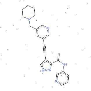 C=C(Nc1cccnc1)c1n[nH]cc1C#Cc1cncc(CN2CCCCC2)c1